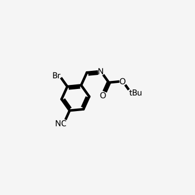 CC(C)(C)OC(=O)/N=C\c1ccc(C#N)cc1Br